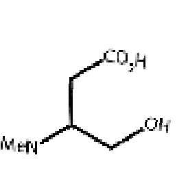 CNC(CO)CC(=O)O